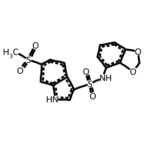 CS(=O)(=O)c1ccc2c(S(=O)(=O)Nc3cccc4c3OCO4)c[nH]c2c1